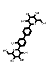 Cc1cc(-c2ccc(C3OC(CO)C(O)C(O)C3O)cc2)ccc1C1OC(CO)C(O)C(O)C1O